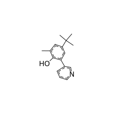 Cc1cc(C(C)(C)C)cc(-c2cccnc2)c1O